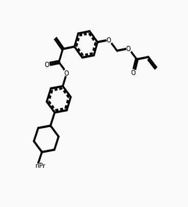 C=CC(=O)OCOc1ccc(C(=C)C(=O)Oc2ccc(C3CCC(CCC)CC3)cc2)cc1